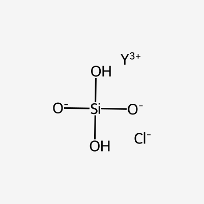 [Cl-].[O-][Si]([O-])(O)O.[Y+3]